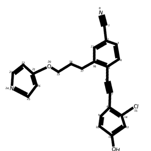 N#Cc1ccc(C#Cc2ccc(O)cc2Cl)c(CCCOc2ccncc2)c1